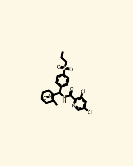 CCCS(=O)(=O)c1ccc(C(NC(=O)c2ncc(Cl)cc2Cl)C23CCC(CC2)CN3C)cc1